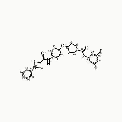 O=C(Nc1ccc(OC2CCN(C(=O)Cc3cc(F)cc(F)c3)CC2)cc1)C1CN(c2ccnnc2)C1